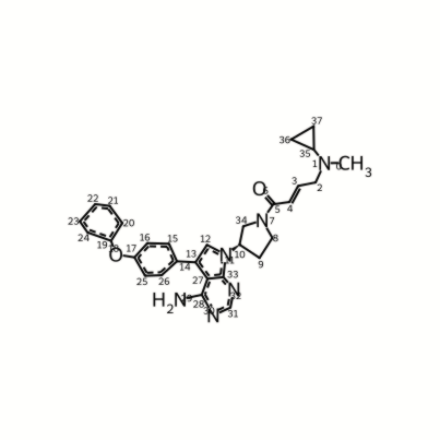 CN(CC=CC(=O)N1CC[C@@H](n2cc(-c3ccc(Oc4ccccc4)cc3)c3c(N)ncnc32)C1)C1CC1